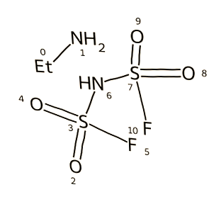 CCN.O=S(=O)(F)NS(=O)(=O)F